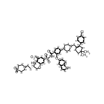 CC1(C)CCC(CN2CCN(c3ccc(C(=O)NS(=O)(=O)c4cc5c(c([N+](=O)[O-])c4)N[C@@H](CCN4CCS(=O)(=O)CC4)CO5)c(Oc4cnc5[nH]ccc5c4)c3)CC2)=C(c2ccc(Cl)cc2)C1